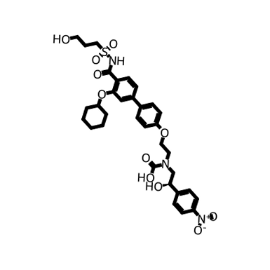 O=C(NS(=O)(=O)CCCO)c1ccc(-c2ccc(OCCN(C[C@H](O)c3ccc([N+](=O)[O-])cc3)C(=O)O)cc2)cc1OC1CCCCC1